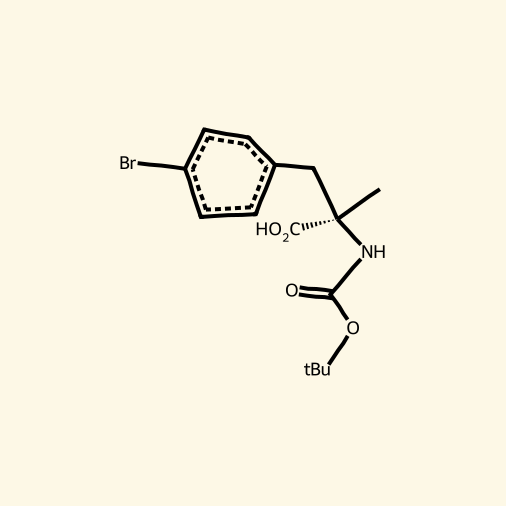 CC(C)(C)OC(=O)N[C@](C)(Cc1ccc(Br)cc1)C(=O)O